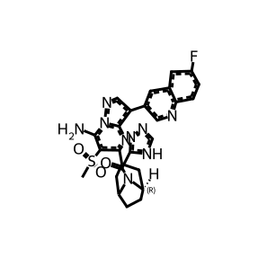 CS(=O)(=O)c1c(C2CC3CC[C@H](C2)N3C(=O)c2nnc[nH]2)nc2c(-c3cnc4ccc(F)cc4c3)cnn2c1N